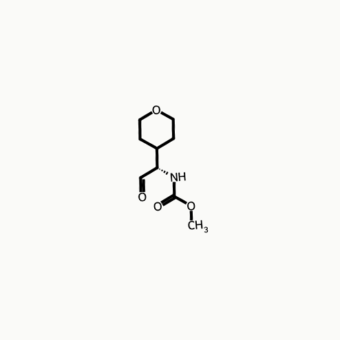 COC(=O)N[C@H](C=O)C1CCOCC1